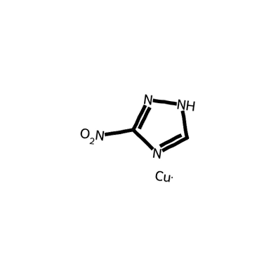 O=[N+]([O-])c1nc[nH]n1.[Cu]